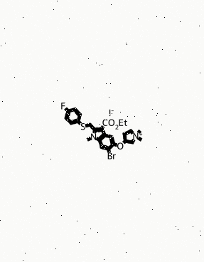 CCOC(=O)c1c(CSc2ccc(F)cc2)n(C)c2cc(Br)c(OC3CC[N+](C)(C)C3)cc12.[I-]